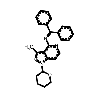 Cc1nn(C2CCCCO2)c2ccnc(N=C(c3ccccc3)c3ccccc3)c12